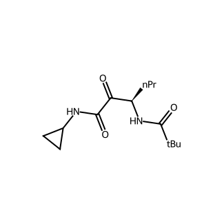 CCC[C@@H](NC(=O)C(C)(C)C)C(=O)C(=O)NC1CC1